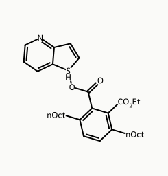 CCCCCCCCc1ccc(CCCCCCCC)c(C(=O)O[SH]2C=Cc3ncccc32)c1C(=O)OCC